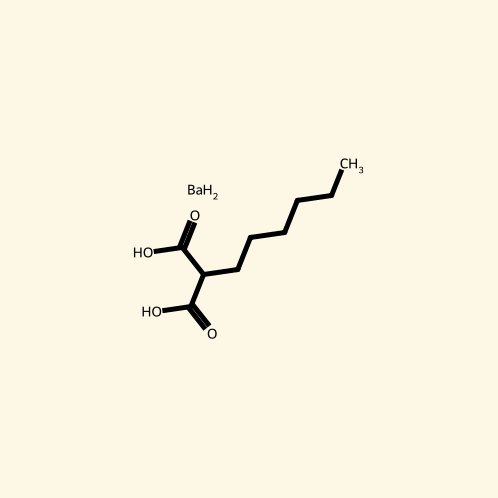 CCCCCCC(C(=O)O)C(=O)O.[BaH2]